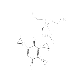 CCO[Si](CN)(OCC)OCC.O=C1C=C(N2CC2)C(=O)C(N2CC2)=C1N1CC1